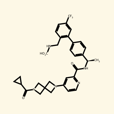 C[C@@H](NC(=O)c1cc(N2CC3(CN(C(=O)C4CC4)C3)C2)ccn1)c1ccc(-c2cc(C(F)(F)F)ccc2CNC(=O)O)cc1